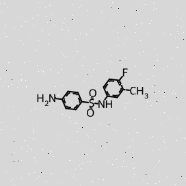 Cc1cc(NS(=O)(=O)c2ccc(N)cc2)ccc1F